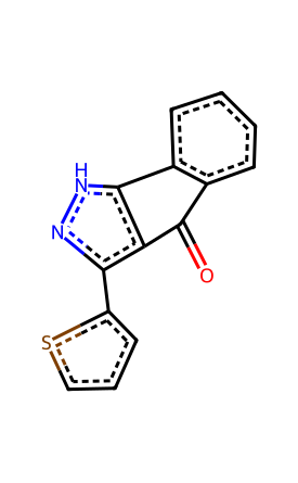 O=C1c2ccccc2-c2[nH]nc(-c3cccs3)c21